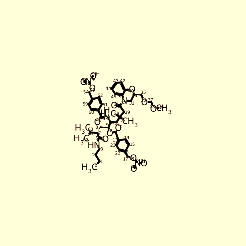 CCCCNC(=O)[C@@H](C[C@H](OC(=O)c1ccc(CO[N+](=O)[O-])cc1)C(CC(C)(C)CC(=O)N1C[C@H](COCOC)Oc2ccccc21)NC(=O)c1ccc(CO[N+](=O)[O-])cc1)C(C)C